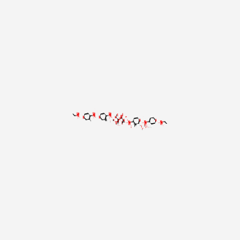 C=CC(=O)Oc1ccc(C(=O)Oc2ccc(C(=O)O[C@H]3CO[C@H]4[C@@H]3OC[C@H]4OC(=O)c3ccc(OC(=O)c4ccc(OC(=O)C=C)cc4C)cc3OC)c(OC)c2)cc1